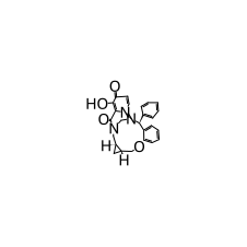 O=C1c2c(O)c(=O)ccn2N2CN1C[C@@H]1C[C@H]1COc1ccccc1[C@@H]2c1ccccc1